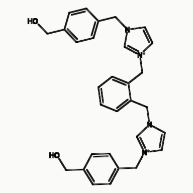 OCc1ccc(Cn2cc[n+](Cc3ccccc3Cn3cc[n+](Cc4ccc(CO)cc4)c3)c2)cc1